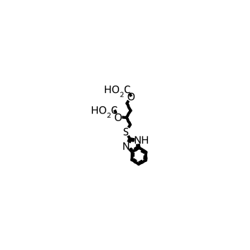 O=C(O)OCCC(CSc1nc2ccccc2[nH]1)OC(=O)O